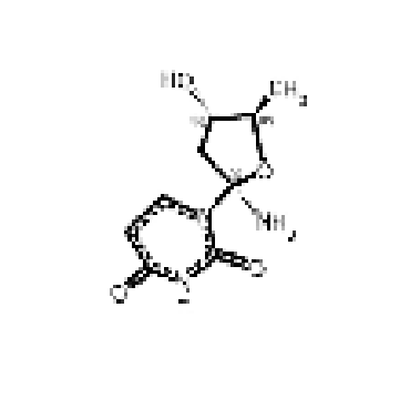 C[C@H]1O[C@@](N)(n2ccc(=O)[nH]c2=O)C[C@@H]1O